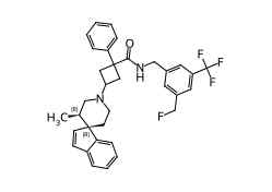 C[C@H]1CN(C2CC(C(=O)NCc3cc(CF)cc(C(F)(F)F)c3)(c3ccccc3)C2)CC[C@@]12C=Cc1ccccc12